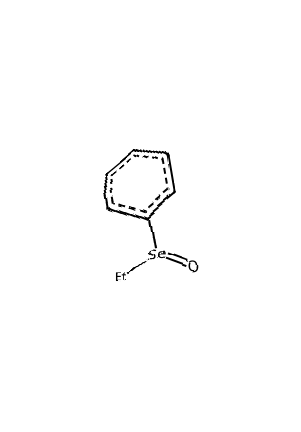 CC[Se](=O)c1ccccc1